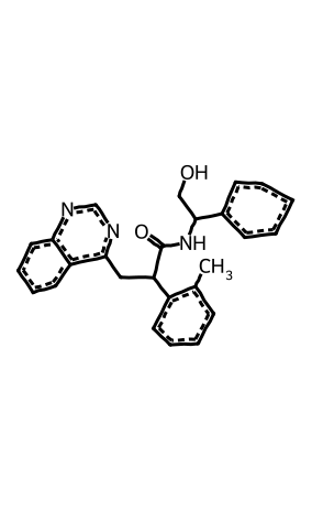 Cc1ccccc1C(Cc1ncnc2ccccc12)C(=O)NC(CO)c1ccccc1